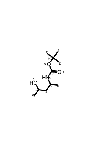 CC(O)CC(C)NC(=O)OC(C)(C)C